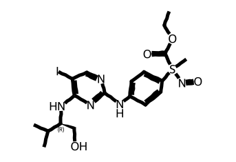 CCOC(=O)S(C)(N=O)c1ccc(Nc2ncc(I)c(N[C@@H](CO)C(C)C)n2)cc1